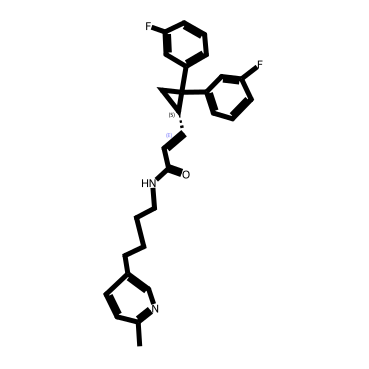 Cc1ccc(CCCCNC(=O)/C=C/[C@@H]2CC2(c2cccc(F)c2)c2cccc(F)c2)cn1